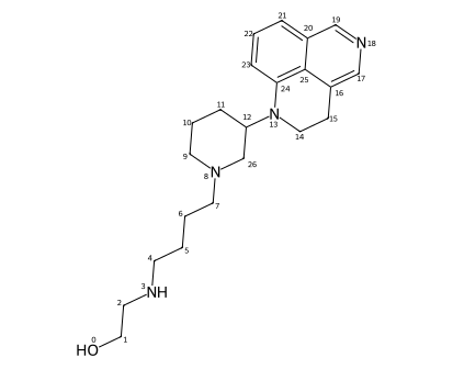 OCCNCCCCN1CCCC(N2CCc3cncc4cccc2c34)C1